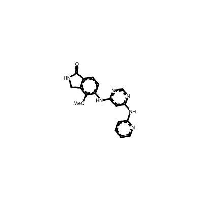 COc1c(Nc2cc(Nc3ccccn3)ncn2)ccc2c1CNC2=O